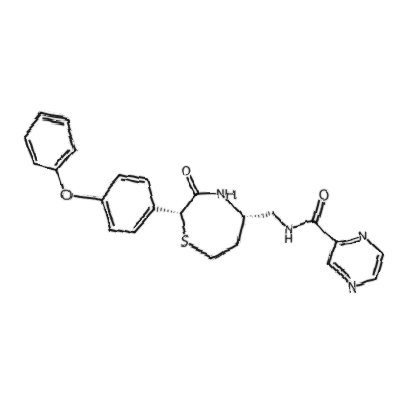 O=C(NC[C@@H]1CCS[C@H](c2ccc(Oc3ccccc3)cc2)C(=O)N1)c1cnccn1